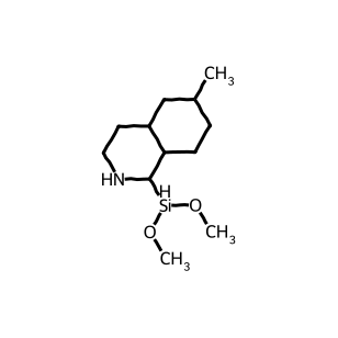 CO[SiH](OC)C1NCCC2CC(C)CCC21